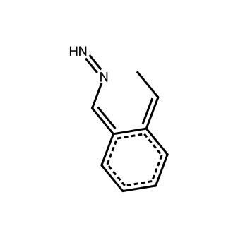 C/C=c1/cccc/c1=C/N=N